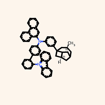 C[C@H]1CC2CC3[C@@H](C2)CC3(c2cccc(N(c3ccc(-c4ccccc4-n4c5ccccc5c5ccccc54)cc3)c3cc4ccccc4c4ccccc34)c2)C1